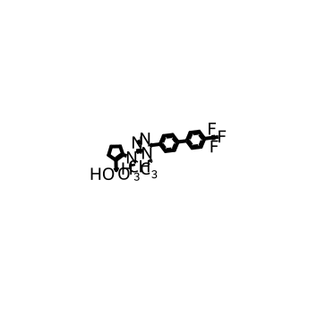 CCn1c(-c2ccc(-c3ccc(C(F)(F)F)cc3)cc2)nnc1N(C)C1=C(C(=O)O)CCC1